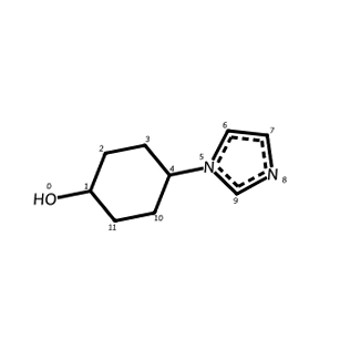 OC1CCC(n2ccnc2)CC1